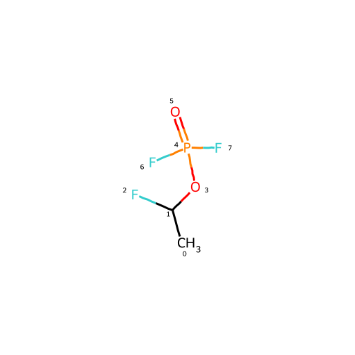 CC(F)OP(=O)(F)F